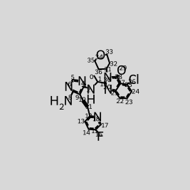 CC(Nc1ncnc(N)c1C#Cc1ccc(F)cn1)c1nc2cccc(Cl)c2c(=O)n1C1CCOCC1